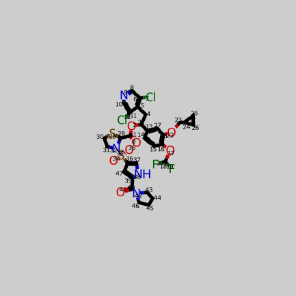 O=C(OC(Cc1c(Cl)cncc1Cl)c1ccc(OC(F)F)c(OCC2CC2)c1)C1SCCN1S(=O)(=O)c1c[nH]c(C(=O)N2CCCC2)c1